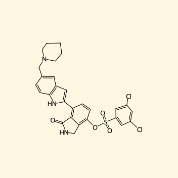 O=C1NCc2c(OS(=O)(=O)c3cc(Cl)cc(Cl)c3)ccc(-c3cc4cc(CN5CCCCC5)ccc4[nH]3)c21